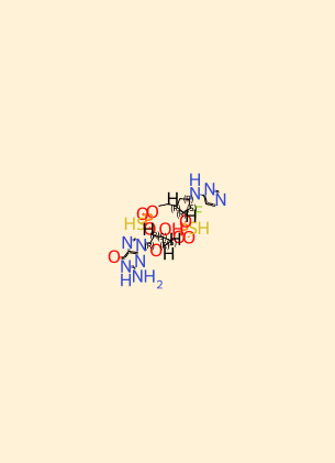 Nc1nc2c(ncn2[C@@H]2O[C@@H]3[C@@H]4OP(=O)(S)O[C@@H]5[C@@H](CCOP(=O)(S)O[C@@H]2[C@]34O)C[C@@H](Nc2ccncn2)[C@@H]5F)c(=O)[nH]1